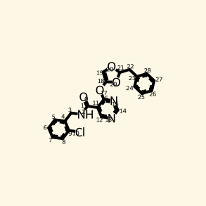 O=C(NCc1ccccc1Cl)c1cncnc1OC1=COC(Cc2ccccc2)O1